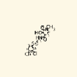 Cn1ccc(C(=O)NCCCSc2ccc(Cl)c(Cl)c2)c(O)c1=O